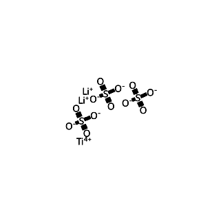 O=S(=O)([O-])[O-].O=S(=O)([O-])[O-].O=S(=O)([O-])[O-].[Li+].[Li+].[Ti+4]